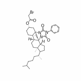 CC(C)CCC[C@@H](C)C1CC[C@H]2C34C=CC5(C[C@@H](OC(=O)CBr)CC[C@]5(C)[C@H]3CC[C@]12C)n1c(=O)n(-c2ccccc2)c(=O)n14